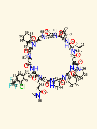 CC[C@H](C)[C@@H]1NC(=O)[C@H](CC(C)C)N(C)C(=O)C[C@@H](C(=O)N2CCCCC2)N(C)C(=O)[C@H](C2CCCCC2)N(C)C(=O)C2(CCCC2)NC(=O)CN(CC=CC(=O)N(C)C)C(=O)[C@H](CCc2ccc(C(F)(F)F)c(Cl)c2)NC(=O)CN(C)C(=O)[C@H](CC2CCCCC2)N(C)C(=O)CN(C)C(=O)CN(C)C1=O